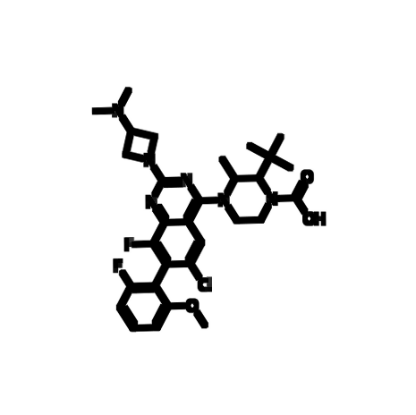 COc1cccc(F)c1-c1c(Cl)cc2c(N3CCN(C(=O)O)C(C(C)(C)C)C3C)nc(N3CC(N(C)C)C3)nc2c1F